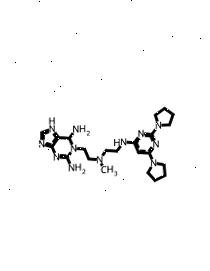 CN(CCNc1cc(N2CCCC2)nc(N2CCCC2)n1)CCN1C(N)=Nc2nc[nH]c2C1N